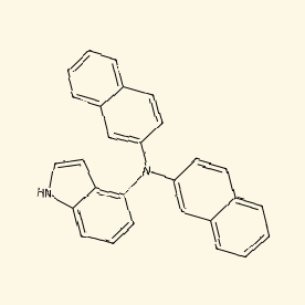 c1ccc2cc(N(c3ccc4ccccc4c3)c3cccc4[nH]ccc34)ccc2c1